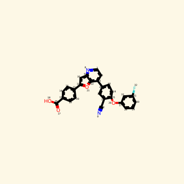 N#Cc1cc(-c2ccnc3cc(-c4ccc(C(=O)O)cc4)oc23)ccc1Oc1cccc(F)c1